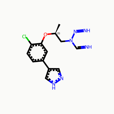 C[C@@H](CN(C=N)N=N)Oc1cc(-c2cn[nH]c2)ccc1Cl